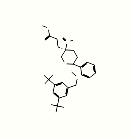 COC(=O)CC[C@@]1([N+](=O)[O-])CC[C@@](CO[C@H](C)c2cc(C(F)(F)F)cc(C(F)(F)F)c2)(c2ccccc2)NC1